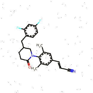 Cc1cc(/C=C/C#N)cc(C)c1N1CC(Cc2ccc(F)cc2F)CCC1=O